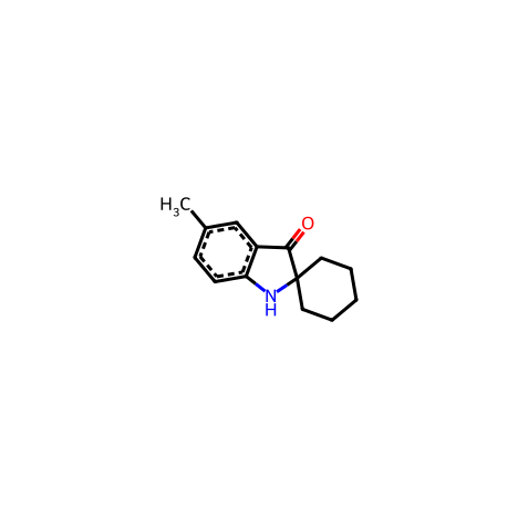 Cc1ccc2c(c1)C(=O)C1(CCCCC1)N2